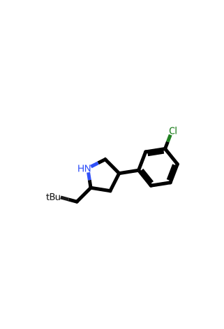 CC(C)(C)CC1CC(c2cccc(Cl)c2)CN1